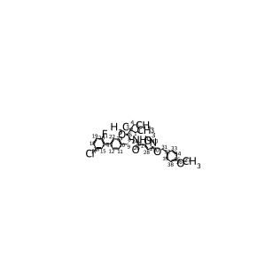 CCC(C)(CC)C(=O)[C@@H](Cc1ccc(-c2cc(Cl)ccc2F)cc1)NC(=O)c1cc(OCc2ccc(OC)cc2)no1